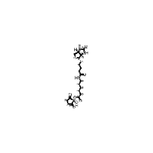 O=C(CCCC[C@@H]1SC[C@@H]2NC(=O)N[C@@H]21)NCCCCCC(=O)O[N+]1(O)C(=O)CCC1=O